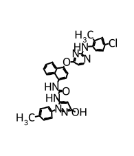 Cc1ccc(-n2nc(O)cc2NC(=O)Nc2ccc(Oc3ccnc(Nc4ccc(Cl)cc4C)n3)c3ccccc23)cc1